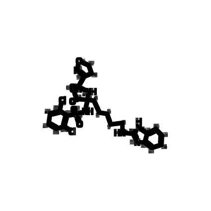 O=C(NC(CCCCCNc1nc2ccccc2[nH]1)(NS(=O)(=O)c1c(Cl)cccc1Cl)C(=O)O)C1=NOCC1